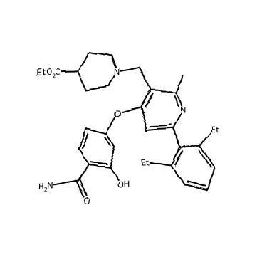 CCOC(=O)C1CCN(Cc2c(Oc3ccc(C(N)=O)c(O)c3)cc(-c3c(CC)cccc3CC)nc2C)CC1